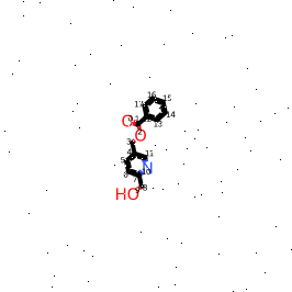 O=C(OCc1ccc(CO)nc1)c1ccccc1